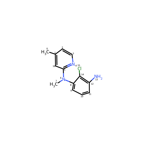 Cc1ccnc(N(C)c2cccc(N)c2Cl)c1